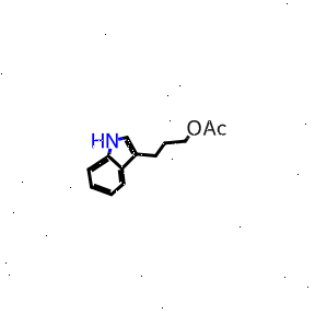 CC(=O)OCCCc1c[nH]c2ccccc12